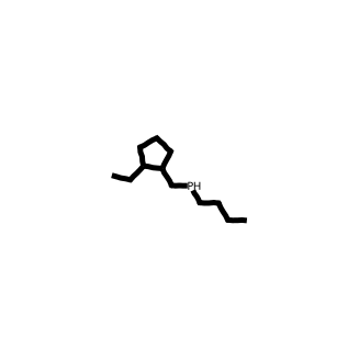 CCCCPCC1CCCC1CC